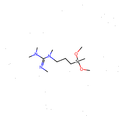 CN=C(N(C)C)N(C)CCC[Si](C)(OC)OC